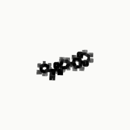 c1ccc(Nc2nc3cc(-c4ccc5c(c4)OCCCO5)ccc3o2)cc1